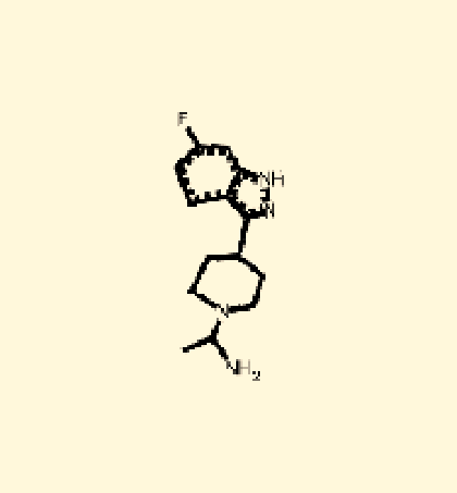 CC(N)N1CCC(c2n[nH]c3cc(F)ccc23)CC1